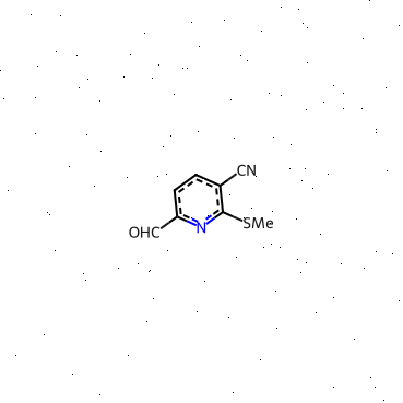 CSc1nc(C=O)ccc1C#N